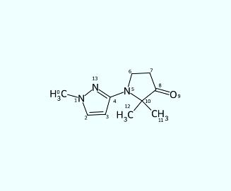 Cn1ccc(N2CCC(=O)C2(C)C)n1